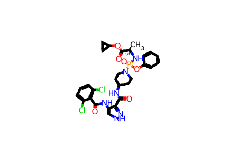 C[C@H](NP(=O)(Oc1ccccc1)N1CCC(NC(=O)c2n[nH]cc2NC(=O)c2c(Cl)cccc2Cl)CC1)C(=O)OC1CC1